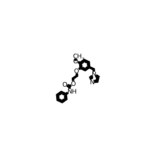 COc1ccc(Cn2ccnc2)cc1OCCOC(=O)Nc1ccccc1